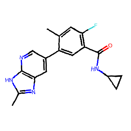 Cc1nc2cc(-c3cc(C(=O)NC4CC4)c(F)cc3C)cnc2[nH]1